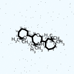 CN1CCCCC(C2CCCC(C3CCCCCC(C)(C)O3)CC(C)(C)N2)CC1(C)C